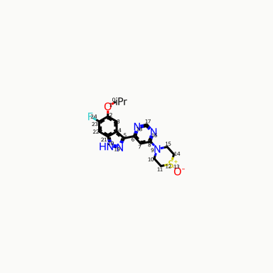 CC(C)Oc1cc2c(-c3cc(N4CC[S+]([O-])CC4)ncn3)n[nH]c2cc1F